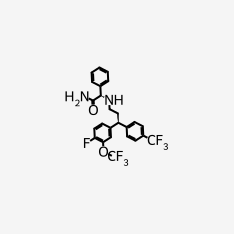 NC(=O)[C@@H](NCC[C@@H](c1ccc(C(F)(F)F)cc1)c1ccc(F)c(OC(F)(F)F)c1)c1ccccc1